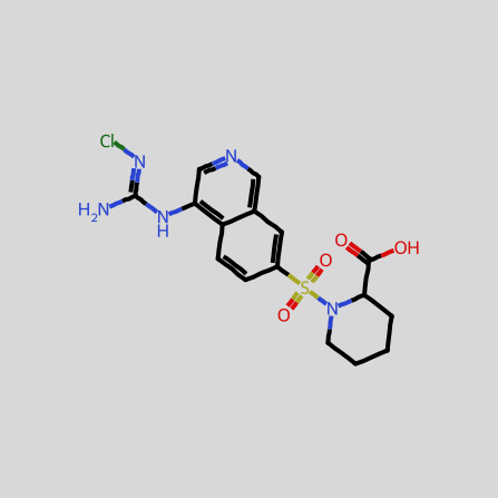 NC(=NCl)Nc1cncc2cc(S(=O)(=O)N3CCCCC3C(=O)O)ccc12